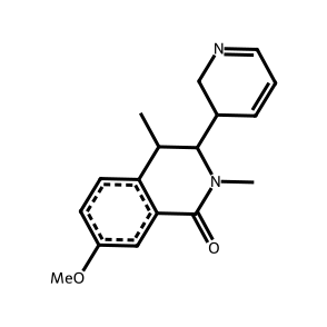 COc1ccc2c(c1)C(=O)N(C)C(C1C=CC=NC1)C2C